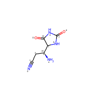 N#CC[C@H](N)C1NC(=O)NC1=O